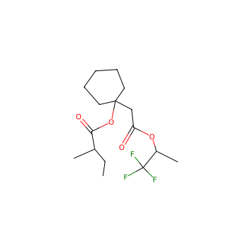 CCC(C)C(=O)OC1(CC(=O)OC(C)C(F)(F)F)CCCCC1